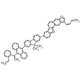 C=C/C=C\c1coc2cc3ccc4c5cc(-c6ccc7c(c6)C(C)(C)c6cc(-c8c9ccccc9c(C(=C)c9ccccc9C=C)c9ccccc89)ccc6-7)ccc5oc4c3cc12